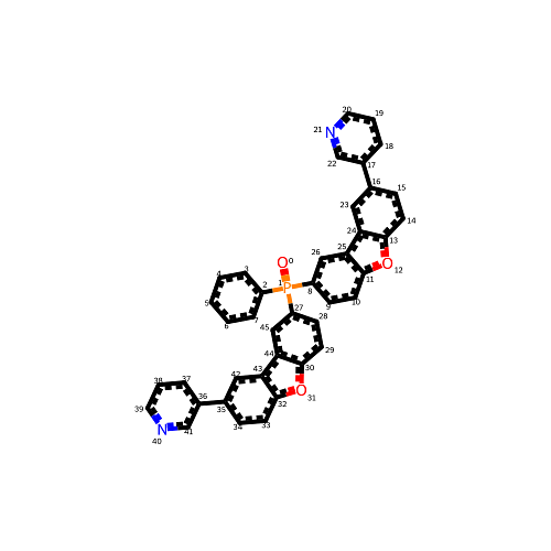 O=P(c1ccccc1)(c1ccc2oc3ccc(-c4cccnc4)cc3c2c1)c1ccc2oc3ccc(-c4cccnc4)cc3c2c1